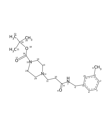 Cc1cccc(CNC(=O)CCN2CCN(C(=O)OC(C)(C)C)CC2)c1